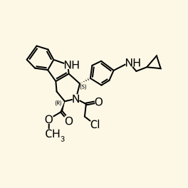 COC(=O)[C@H]1Cc2c([nH]c3ccccc23)[C@H](c2ccc(NCC3CC3)cc2)N1C(=O)CCl